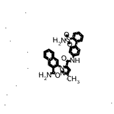 Cc1cc(C(=O)Nc2ccc(-c3ccccc3S(N)(=O)=O)cc2)n(-c2cc3ccccc3cc2C(N)=O)n1